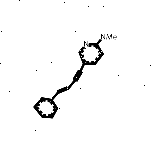 CNc1ccc(C#CC=Cc2ccccc2)cn1